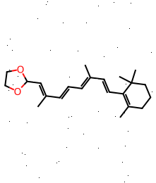 CC(C=CC1=C(C)CCCC1(C)C)=CC=CC(C)=CC1OCCO1